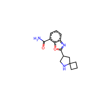 NC(=O)c1cccc2nc(C3CNC4(CCC4)C3)oc12